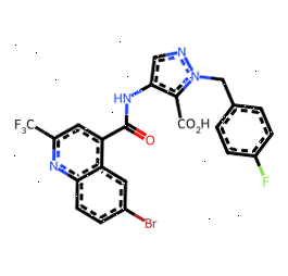 O=C(Nc1cnn(Cc2ccc(F)cc2)c1C(=O)O)c1cc(C(F)(F)F)nc2ccc(Br)cc12